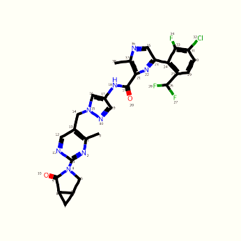 Cc1nc(N2CC3CC3C2=O)ncc1Cn1cc(NC(=O)c2nc(-c3c(C(F)F)ccc(Cl)c3F)cnc2C)cn1